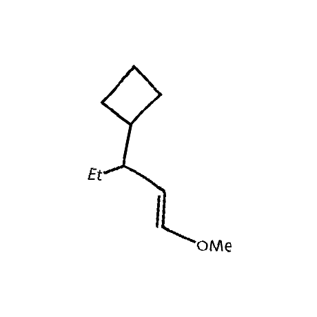 CCC(/C=C/OC)C1CCC1